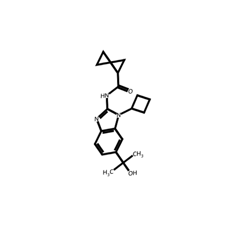 CC(C)(O)c1ccc2nc(NC(=O)C3CC34CC4)n(C3CCC3)c2c1